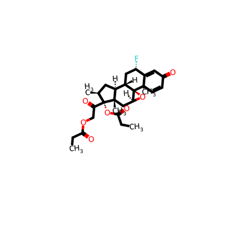 CCC(=O)OCC(=O)[C@@]1(OC(=O)CC)[C@@H](C)C[C@H]2[C@@H]3C[C@H](F)C4=CC(=O)C=C[C@]4(C)[C@@]34O[C@H]4C[C@@]21C